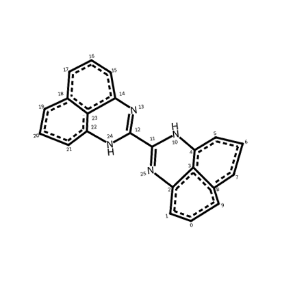 c1cc2c3c(cccc3c1)NC(C1=Nc3cccc4cccc(c34)N1)=N2